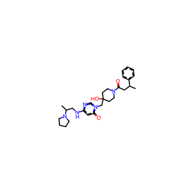 CC(CC(=O)N1CCC(O)(Cn2cnc(NCC(C)N3CCCC3)cc2=O)CC1)c1ccccc1